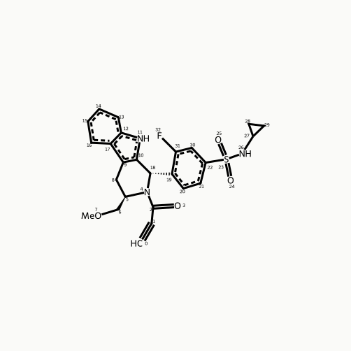 C#CC(=O)N1[C@@H](COC)Cc2c([nH]c3ccccc23)[C@@H]1c1ccc(S(=O)(=O)NC2CC2)cc1F